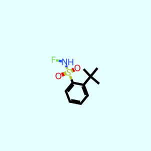 CC(C)(C)c1ccccc1S(=O)(=O)NF